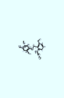 CCc1cccc(N=C=O)c1COc1cc(F)c(C)cc1C